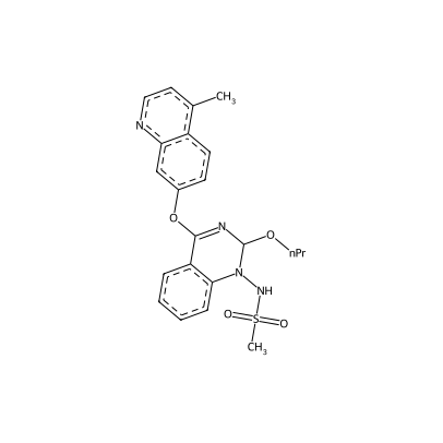 CCCOC1N=C(Oc2ccc3c(C)ccnc3c2)c2ccccc2N1NS(C)(=O)=O